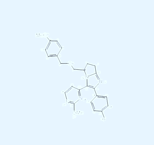 COc1ccc(COCC2CCc3nc(-c4ccc(F)cc4)c(-c4ccnc(OC)n4)n32)cc1